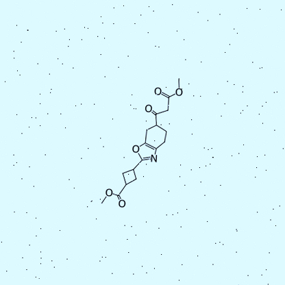 COC(=O)CC(=O)C1CCc2nc(C3CC(C(=O)OC)C3)oc2C1